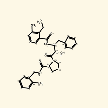 CCc1c(N)cccc1C(=O)N[C@@H](Cc1ccccc1)[C@H](O)C(=O)N1CSC[C@H]1C(=O)NCc1ccccc1C